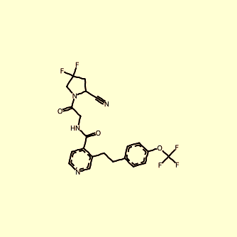 N#CC1CC(F)(F)CN1C(=O)CNC(=O)c1ccncc1CCc1ccc(OC(F)(F)F)cc1